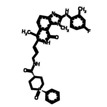 Cc1cc(F)ccc1Nc1nc2ccc3c(C)c(C=CCNC(=O)[C@H]4CC[P@@](=O)(c5ccccc5)CC4)[nH]c(=O)c3c2n1C